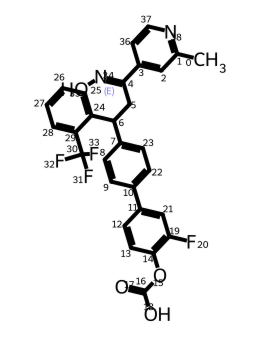 Cc1cc(/C(CC(c2ccc(-c3ccc(OC(=O)O)c(F)c3)cc2)c2ccccc2C(F)(F)F)=N/O)ccn1